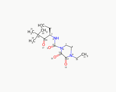 CC[C@@H](NC(=O)N1CCN(CC)C(=O)C1=O)C(=O)C(C)(C)C